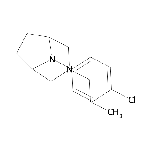 CCCN1CC2CCC(C1)N2c1ccc(Cl)cc1